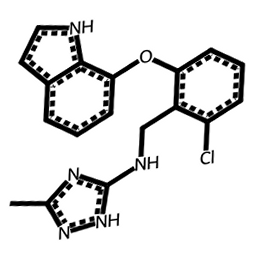 Cc1n[nH]c(NCc2c(Cl)cccc2Oc2cccc3cc[nH]c23)n1